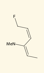 C/C=C(\C=C/CF)NC